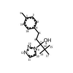 Cc1ccc(CCC(O)(n2ccnn2)C(C)(C)C)cc1